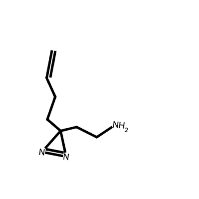 C=CCCC1(CCN)N=N1